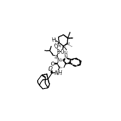 CC(C)C[C@H](NC(=O)[C@H](Cc1c[nH]c2ccccc12)NC(=O)C12CC3CC(CC(C3)C1)C2)B1O[C@@H]2CCC(C)(C)[C@H](C)[C@]2(C)O1